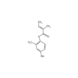 CC=C(C)C(=O)Oc1ccc(O)cc1C